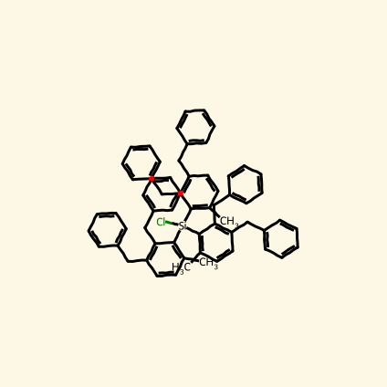 Cc1ccc(Cc2ccccc2)c(Cc2ccccc2)c1[Si](Cl)(c1c(C)ccc(Cc2ccccc2)c1Cc1ccccc1)c1c(C)ccc(Cc2ccccc2)c1Cc1ccccc1